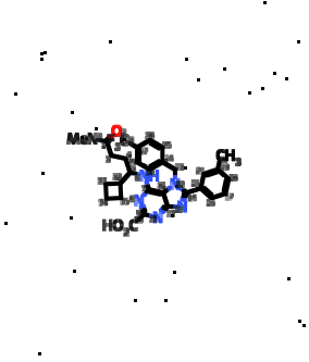 CNC(=O)CCC(Nc1nc(C(=O)O)nc2nc(-c3cccc(C)c3)n(Cc3ccc(C(F)(F)F)cc3)c12)C1CCC1